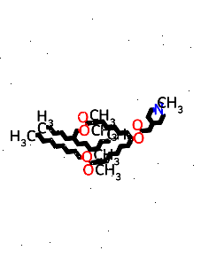 CCCCCCCCCOC(=O)C(C)(C)CCCCCC(CCCCCC(C)(C)C(=O)OCC(CCCCC)CCCCCCC)OC(=O)CC1CCN(C)CC1